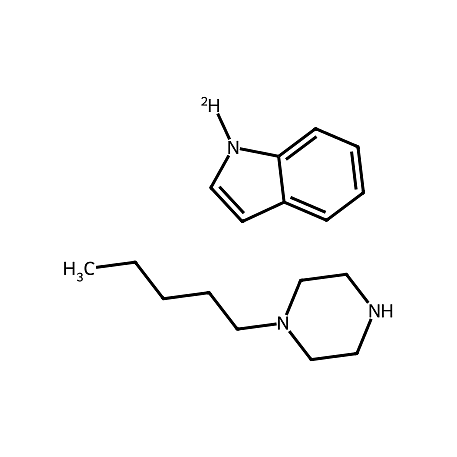 CCCCCN1CCNCC1.[2H]n1ccc2ccccc21